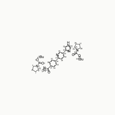 CC(C)(C)OC(=O)N1CCC[C@H]1CNC(=O)c1ccc(-c2ccc(-c3c[nH]c([C@@H]4CCCN4C(=O)OC(C)(C)C)n3)cn2)cc1